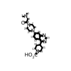 CN(C)CC(=O)N1CCN(c2ccc3c(C4CCN(C(=O)O)CC4)ncnc3c2)CC1